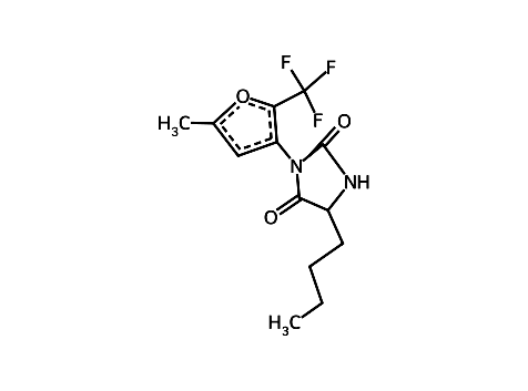 CCCCC1NC(=O)N(c2cc(C)oc2C(F)(F)F)C1=O